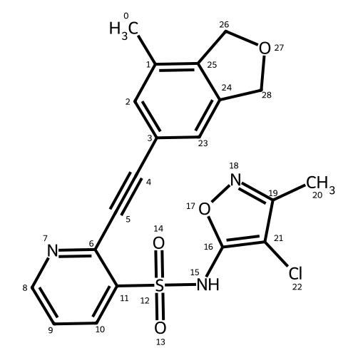 Cc1cc(C#Cc2ncccc2S(=O)(=O)Nc2onc(C)c2Cl)cc2c1COC2